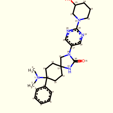 CN(C)C1(c2ccccc2)CCC2(CC1)CN(c1cnc(N3CCCC(O)C3)nc1)C(=O)N2